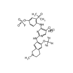 Cl.Cl.[2H]C([2H])([2H])Oc1cc2c(cc1Nc1ncc(Cl)c(Nc3ccc(OS(=O)(=O)F)cc3P(C)(C)=O)n1)CN(C)CC2